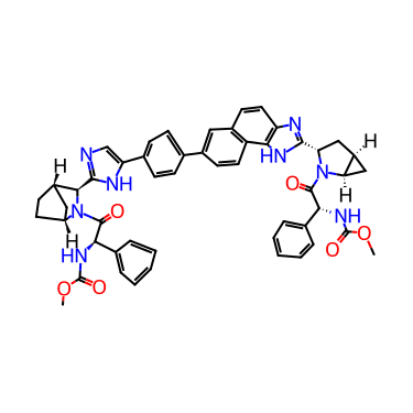 COC(=O)N[C@@H](C(=O)N1[C@@H]2CC[C@@H](C2)[C@H]1c1ncc(-c2ccc(-c3ccc4c(ccc5nc([C@@H]6C[C@H]7C[C@H]7N6C(=O)[C@H](NC(=O)OC)c6ccccc6)[nH]c54)c3)cc2)[nH]1)c1ccccc1